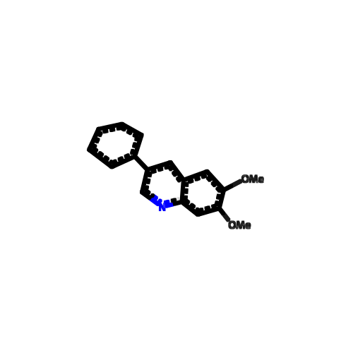 COc1cc2cc(-c3ccccc3)cnc2cc1OC